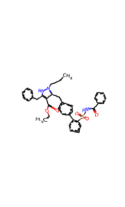 CCCN1NC(Cc2ccccc2)=C(C(=O)OCC)C1Cc1ccc(-c2ccccc2S(=O)(=O)NC(=O)c2ccccc2)cc1